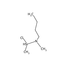 CCCCN(C)[SiH](C)Cl